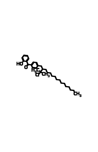 CCCCCCCCCCCCCCC(Cc1ccc(C(=O)c2ccccc2O)cc1)C(C)(C)Cl